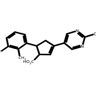 Cc1ncc(C2=CC(C(=O)O)C(c3cccc(F)c3C)C2)cn1